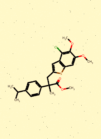 COC(=O)C(C)(Cc1cc2c(Cl)c(OC)c(OC)cc2s1)c1ccc(C(C)C)cc1